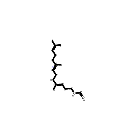 CC(C)=CCC/C(C)=C/CCC(C)=CCCOC=O